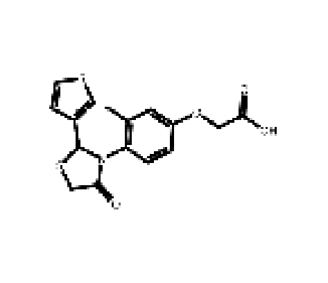 Cc1cc(OCC(=O)O)ccc1N1C(=O)CSC1c1ccsc1